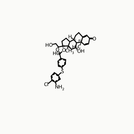 C[C@]12C=CC(=O)C=C1CC[C@@H]1C2[C@@H](O)C[C@@]2(C)C1CC[C@]2(O[C@@H](O)c1ccc(Sc2ccc(Cl)c(N)c2)cc1)C(=O)CO